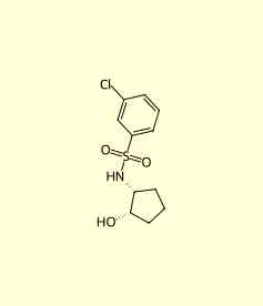 O=S(=O)(N[C@@H]1CCC[C@@H]1O)c1cccc(Cl)c1